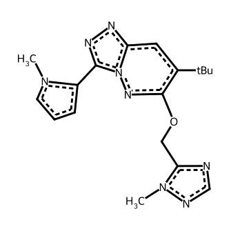 Cn1cccc1-c1nnc2cc(C(C)(C)C)c(OCc3ncnn3C)nn12